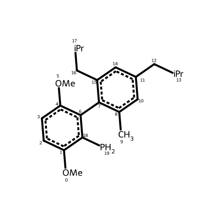 COc1ccc(OC)c(-c2c(C)cc(CC(C)C)cc2CC(C)C)c1P